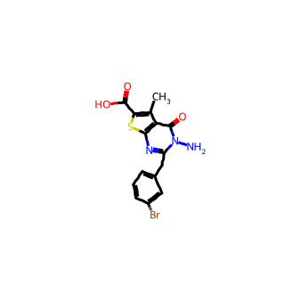 Cc1c(C(=O)O)sc2nc(Cc3cccc(Br)c3)n(N)c(=O)c12